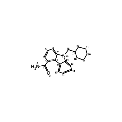 NC(=O)c1cccc2c1c1ccccc1n2CC1CCCCC1